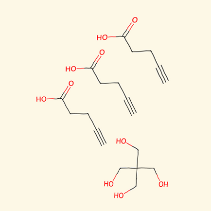 C#CCCC(=O)O.C#CCCC(=O)O.C#CCCC(=O)O.OCC(CO)(CO)CO